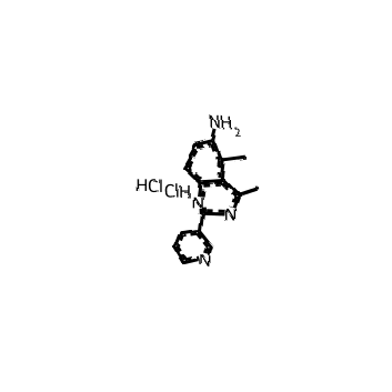 Cc1nc(-c2cccnc2)nc2ccc(N)c(C)c12.Cl.Cl